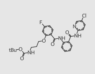 CC(C)(C)OC(=O)NCCCOc1cc(F)ccc1C(=O)Nc1ccccc1C(=O)Nc1ccc(Cl)cn1